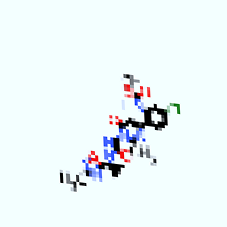 COC(=O)Nc1cc(Cl)ccc1-c1cc(=O)n(CC(=O)NC2(c3nc(C)no3)CC2)c(C)n1